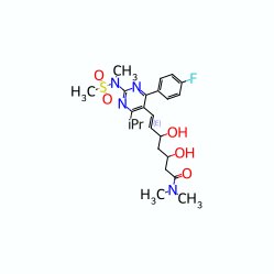 CC(C)c1nc(N(C)S(C)(=O)=O)nc(-c2ccc(F)cc2)c1/C=C/C(O)CC(O)CC(=O)N(C)C